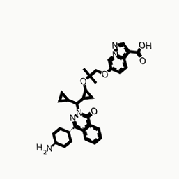 CC(C)(COc1ccc2c(C(=O)O)cnn2c1)OC1CC1C(C1CC1)n1nc([C@H]2CC[C@H](N)CC2)c2ccccc2c1=O